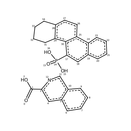 O=C(O)c1cc2ccccc2cn1.O=P(O)(O)c1cc2ccccc2c2ccc3c(c12)CCCC3